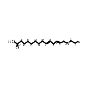 CCCSCC=CCC=CCCCCCCCC(=O)O